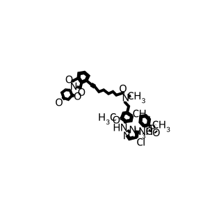 COc1cc(CCN(C)C(=O)CCCCCC#Cc2cccc3c2C(=O)N(C2CCC(=O)CC2=O)C3=O)c(C)cc1Nc1ncc(Cl)c(Nc2ccccc2P(C)(C)=O)n1